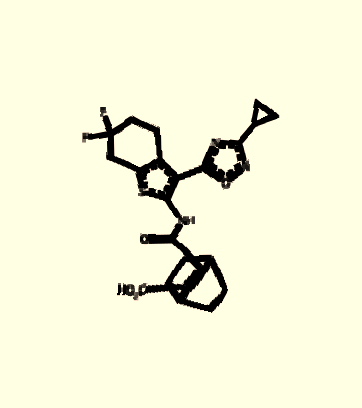 O=C(O)C1=C(C(=O)Nc2sc3c(c2-c2nc(C4CC4)no2)CCC(F)(F)C3)C2CCC1CC2